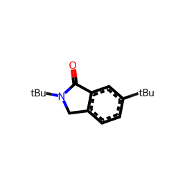 CC(C)(C)c1ccc2c(c1)C(=O)N(C(C)(C)C)C2